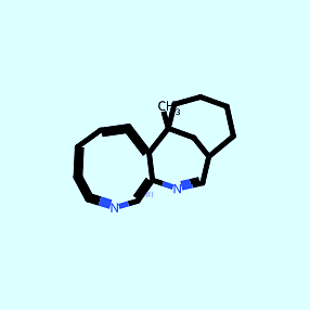 CC12CCCCC(C=N/C3=C/N=C=C=CC=C=C31)C2